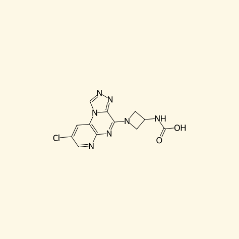 O=C(O)NC1CN(c2nc3ncc(Cl)cc3n3cnnc23)C1